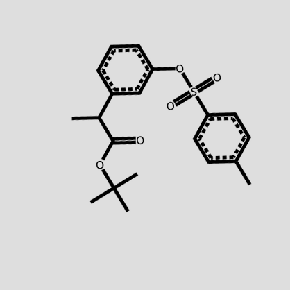 Cc1ccc(S(=O)(=O)Oc2cccc(C(C)C(=O)OC(C)(C)C)c2)cc1